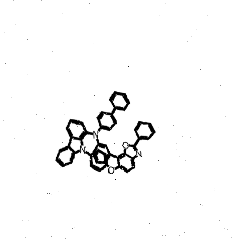 c1ccc(-c2ccc(N(c3ccc4oc5ccc6nc(-c7ccccc7)oc6c5c4c3)c3cccc4c5ccccc5n(-c5ccccc5)c34)cc2)cc1